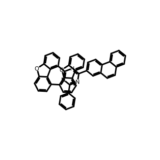 c1ccc(-c2nc(-c3ccc4c(ccc5ccccc54)c3)nc(-c3cccc4oc5cccc(-c6cccc7c6oc6ccccc67)c5c34)n2)cc1